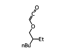 CCCCC(CC)COC=C=O